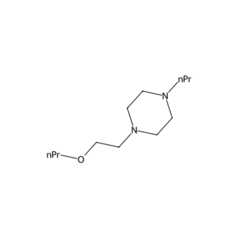 CCCOCCN1CCN(CCC)CC1